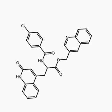 O=C(NC(Cc1cc(=O)[nH]c2ccccc12)C(=O)OCc1cnc2ccccc2c1)c1ccc(Cl)cc1